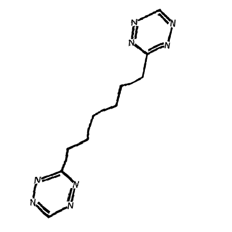 c1nnc(CCCCCCc2nncnn2)nn1